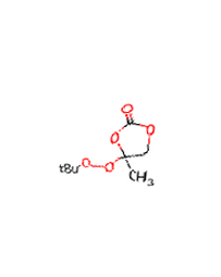 CC(C)(C)OOC1(C)COC(=O)O1